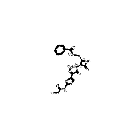 CON=C(C(=O)N[C@@H]1C(=O)N[C@@H]1CNC(=O)c1ccccc1)c1csc(NC(=O)CCl)n1